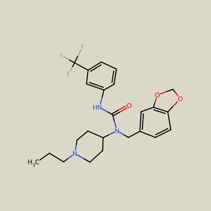 CCCN1CCC(N(Cc2ccc3c(c2)OCO3)C(=O)Nc2cccc(C(F)(F)F)c2)CC1